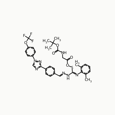 Cc1cccc(C)c1/N=C(/N/N=C/c1ccc(-c2ncn(-c3ccc(OC(F)(F)F)cc3)n2)cc1)SOC(=O)CNC(=O)OC(C)(C)C